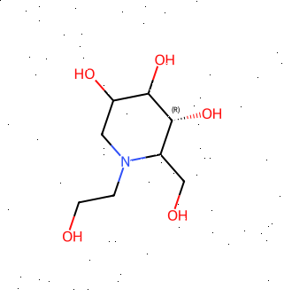 OCCN1CC(O)C(O)[C@H](O)C1CO